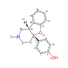 CN1CC[C@@]2(c3ccc(O)cc3)Oc3ccccc3[C@H]2C1